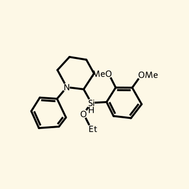 CCO[SiH](c1cccc(OC)c1OC)C1CCCCN1c1ccccc1